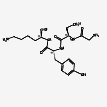 NCCCC[C@@H]([C]=O)NC(=O)[C@@H](Cc1ccc(O)cc1)NC(=O)[C@@H](CC(=O)O)NC(=O)CN